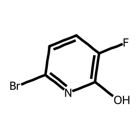 Oc1nc(Br)ccc1F